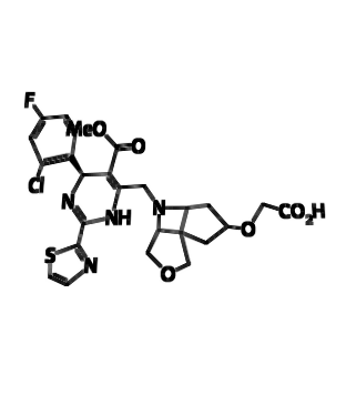 COC(=O)C1=C(CN2C3COCC34CC(OCC(=O)O)CC24)NC(c2nccs2)=N[C@H]1c1ccc(F)cc1Cl